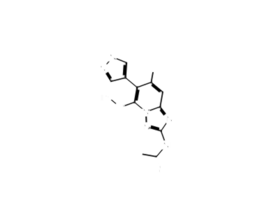 CC(C)Oc1c(-c2cn[nH]c2)c(F)cc2nc(N[C@@H](C)C(F)(F)F)nn12